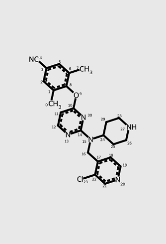 Cc1cc(C#N)cc(C)c1Oc1ccnc(N(Cc2ccncc2Cl)C2CCNCC2)n1